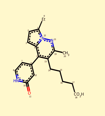 CCc1ccc2c(-c3cc[nH]c(=O)c3)c(CCCCC(=O)O)c(C)nn12